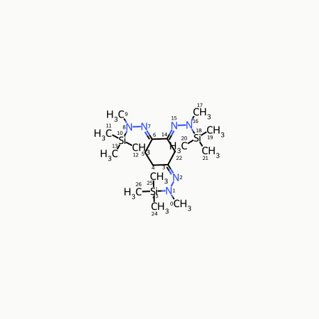 CN(N=C1CCC(=NN(C)[Si](C)(C)C)C(=NN(C)[Si](C)(C)C)C1)[Si](C)(C)C